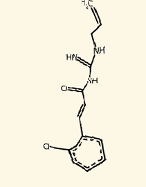 C=CCNC(=N)NC(=O)/C=C/c1ccccc1Cl